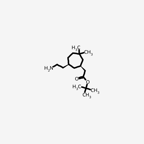 CC1(C)CC[C@H](CCN)C[C@H](CC(=O)OC(C)(C)C)C1